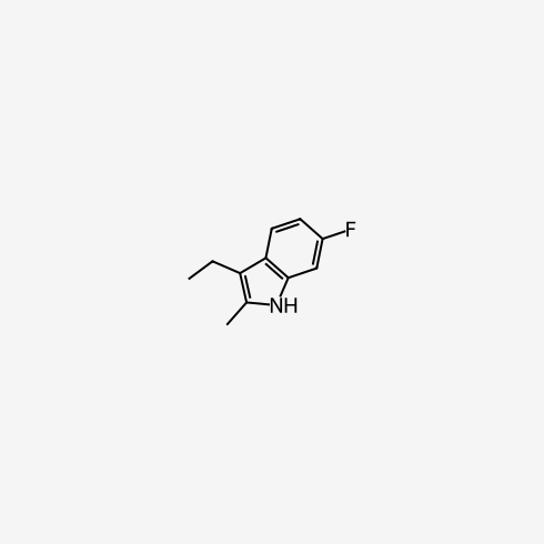 CCc1c(C)[nH]c2cc(F)ccc12